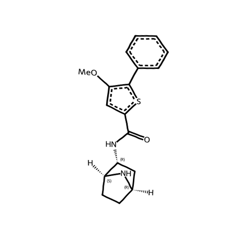 COc1cc(C(=O)N[C@@H]2C[C@H]3CC[C@@H]2N3)sc1-c1ccccc1